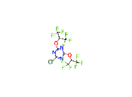 FC(F)(F)C(Oc1nc(Cl)nc(OC(C(F)(F)F)C(F)(F)F)n1)C(F)(F)F